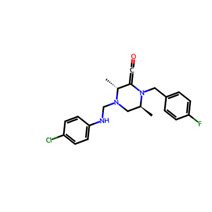 C[C@@H]1C(=C=O)N(Cc2ccc(F)cc2)[C@@H](C)CN1CNc1ccc(Cl)cc1